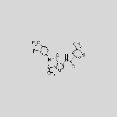 Cc1cncc(C(=O)Nc2cnn3c2C(=O)N(c2ccc(C(F)(F)F)c(F)c2)C[C@@H]3C)c1